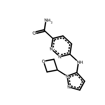 NC(=O)c1ccc(Nc2ccnn2C2COC2)nn1